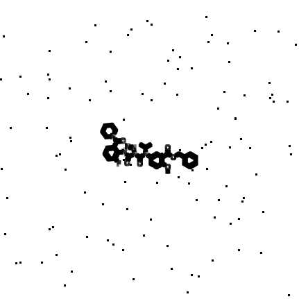 COc1ccc(N(C(=O)n2nnn(-c3c(F)cccc3C(=O)N3CCCCC3)c2=O)C(C)C)cc1C(=O)OCc1ccccc1